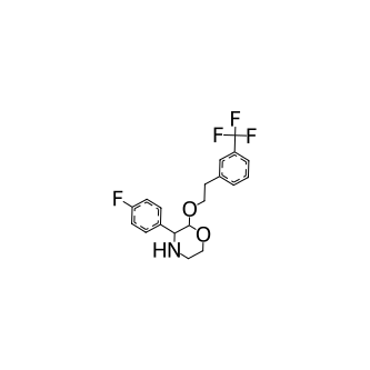 Fc1ccc(C2NCCOC2OCCc2cccc(C(F)(F)F)c2)cc1